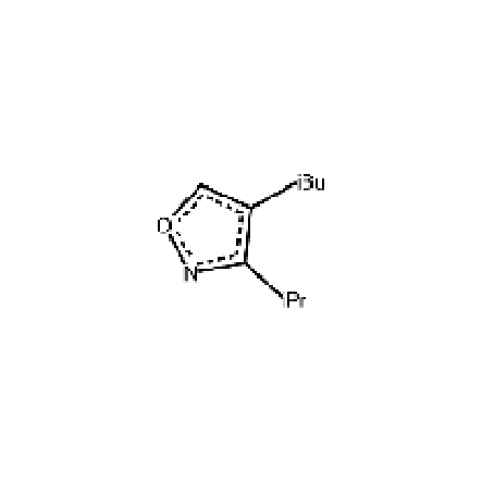 CCC(C)c1conc1C(C)C